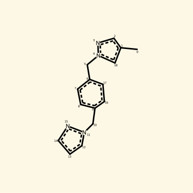 Cc1cnn(Cc2ccc(Cn3cccn3)cc2)c1